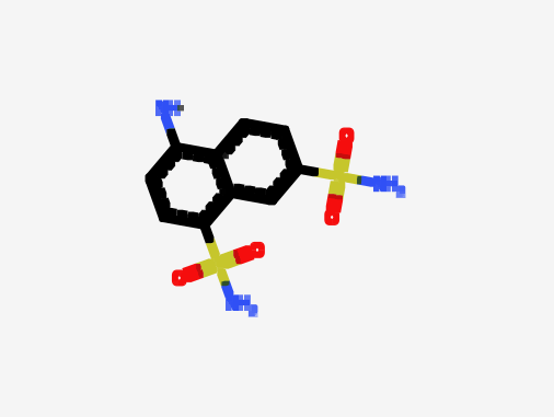 [NH]c1ccc(S(N)(=O)=O)c2cc(S(N)(=O)=O)ccc12